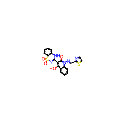 O=c1c(C2=NS(=O)(=O)c3ccccc3N2)c(O)c2ccccc2n1/N=C/c1nccs1